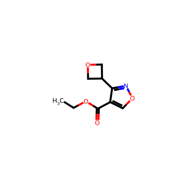 CCOC(=O)c1conc1C1COC1